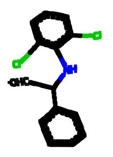 O=[C]C(Nc1c(Cl)cccc1Cl)c1ccccc1